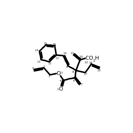 C=CCOC(=O)C(=C)C(C=Cc1ccccc1)(CC=C)C(=C)C(=O)O